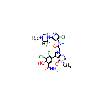 C[C@H]1CN(C)CCN1c1cc(NC(=O)Cn2cc(-c3cc(C(N)=O)c(O)c(Cl)c3F)c3c(=O)n(C)cnc32)c(Cl)cn1